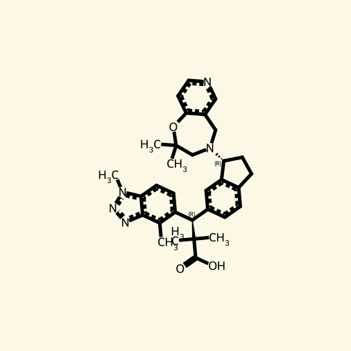 Cc1c([C@@H](c2ccc3c(c2)[C@H](N2Cc4cnccc4OC(C)(C)C2)CC3)C(C)(C)C(=O)O)ccc2c1nnn2C